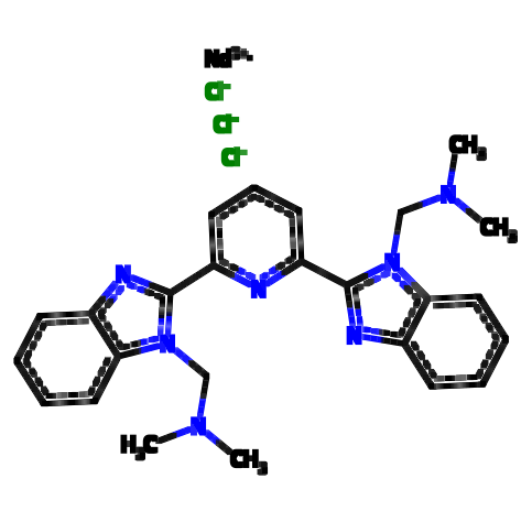 CN(C)Cn1c(-c2cccc(-c3nc4ccccc4n3CN(C)C)n2)nc2ccccc21.[Cl-].[Cl-].[Cl-].[Nd+3]